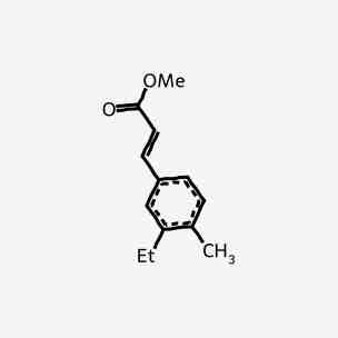 CCc1cc(C=CC(=O)OC)ccc1C